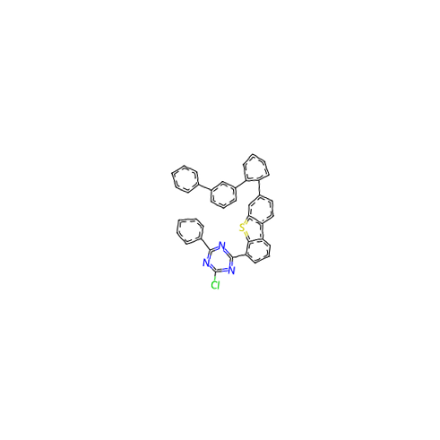 Clc1nc(-c2ccccc2)nc(-c2cccc3c2sc2cc(-c4ccccc4-c4cccc(-c5ccccc5)c4)ccc23)n1